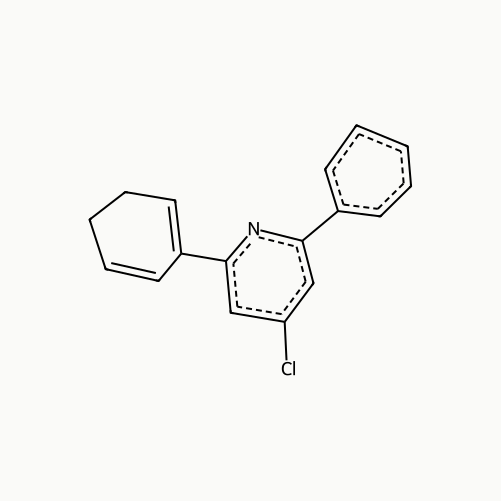 Clc1cc(C2=CCCC=C2)nc(-c2ccccc2)c1